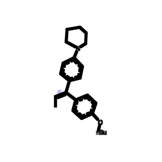 C/C=C(\c1ccc(OCCCC)cc1)c1ccc(N2CCCCC2)cc1